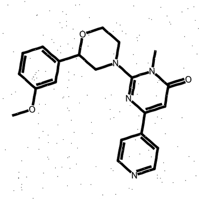 COc1cccc(C2CN(c3nc(-c4ccncc4)cc(=O)n3C)CCO2)c1